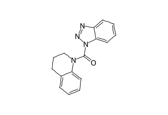 O=C(N1CCCc2ccccc21)n1nnc2ccccc21